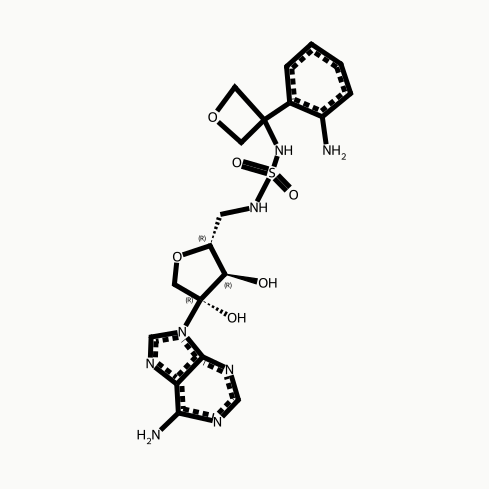 Nc1ccccc1C1(NS(=O)(=O)NC[C@H]2OC[C@](O)(n3cnc4c(N)ncnc43)[C@@H]2O)COC1